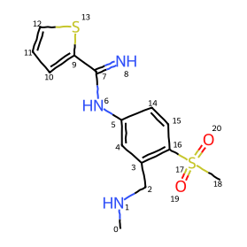 CNCc1cc(NC(=N)c2cccs2)ccc1S(C)(=O)=O